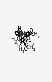 CC(=O)N1CCC(O)(c2cc3c(NC(C)c4cccc(C#N)c4C)nc(C)c(C#CC(C)C)c3n(C)c2=O)CC1